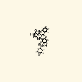 CCCC1=NNC(=O)/C1=C1/C=C(Sc2ccc(NC(=O)C3CCN(C)CC3)cc2)c2ccccc2N1